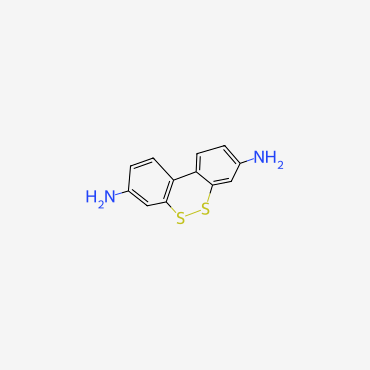 Nc1ccc2c(c1)SSc1cc(N)ccc1-2